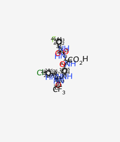 O=C(NCC[C@H](NC(=O)c1ccc(Nc2nc(NC3(c4ccc(Cl)cc4)CC3)nc(OCC(F)(F)F)n2)cc1)C(=O)O)C(=O)NCc1cccc(F)c1